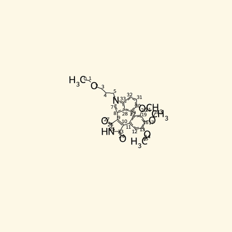 CCOCCCn1cc(C2=C(c3cc(OC)c(OC)c(OC)c3)C(=O)NC2=O)c2ccccc21